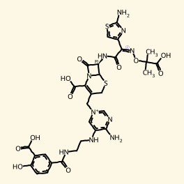 CC(C)(O/N=C(\C(=O)N[C@@H]1C(=O)N2C(C(=O)O)=C(C[n+]3cnc(N)c(NCCNC(=O)c4ccc(O)c(C(=O)O)c4)c3)CSC12)c1csc(N)n1)C(=O)O